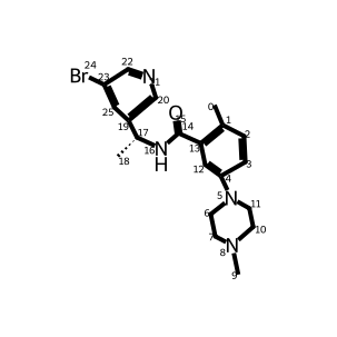 Cc1ccc(N2CCN(C)CC2)cc1C(=O)N[C@H](C)c1cncc(Br)c1